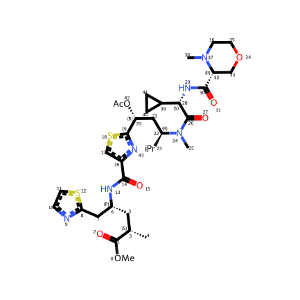 COC(=O)[C@@H](C)C[C@H](Cc1nccs1)NC(=O)c1csc([C@@H](C[C@H](C(C)C)N(C)C(=O)[C@@H](NC(=O)[C@H]2COCCN2C)C2CC2)OC(C)=O)n1